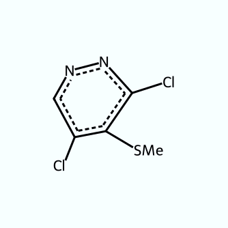 CSc1c(Cl)cnnc1Cl